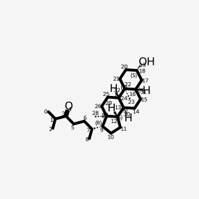 CC(C)C(=O)CCC(C)[C@H]1CC[C@H]2[C@@H]3CC[C@H]4C[C@@H](O)CC[C@]4(C)[C@H]3CC[C@]12C